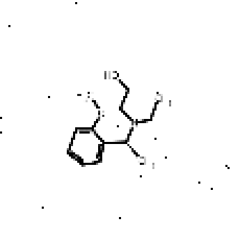 CCN(CCO)[C@@H](C)c1ccccc1OC